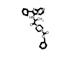 CC(Nc1c(-c2ccccc2)nc2cnccn12)C(=O)N1CCN(C(=O)OCc2ccccc2)CC1